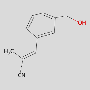 CC(C#N)=Cc1cccc(CO)c1